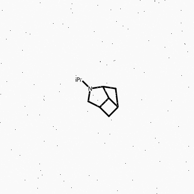 CC(C)N1CC2CC3CC1C32